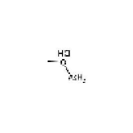 CO[AsH2].Cl